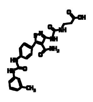 Cc1cccc(NC(=O)Nc2ccc(-c3snc(NC(=O)NCCC(=O)O)c3C(N)=O)cc2)c1